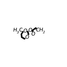 C=CC(=O)OC1COCCCC(C)O1